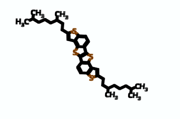 CC(C)CCCC(C)CCc1cc2c(ccc3c2sc2c4ccc5sc(CCC(C)CCCC(C)C)cc5c4sc32)s1